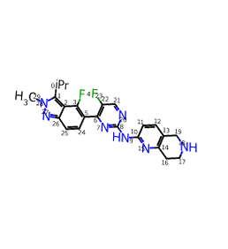 CC(C)c1c2c(F)c(-c3nc(Nc4ccc5c(n4)CCNC5)ncc3F)ccc2nn1C